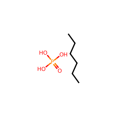 CCCCCC.O=P(O)(O)O